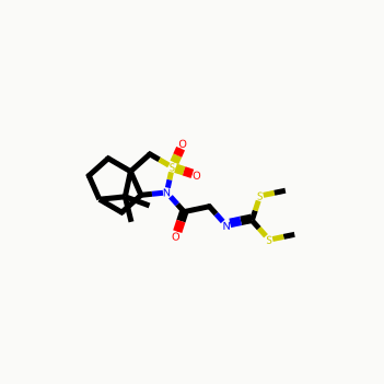 CSC(=NCC(=O)N1C2CC3CCC2(CS1(=O)=O)C3(C)C)SC